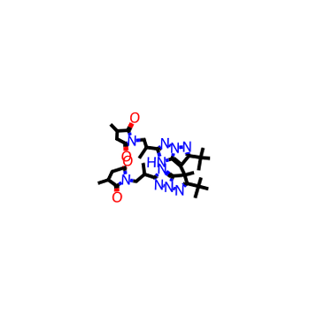 CC1CC(=O)N(CC(C)c2nc3n(n2)N=C(C(C)(C)C)C3(C)c2c(C(C)(C)C)nn3nc(C(C)CN4C(=O)CC(C)C4=O)[nH]c23)C1=O